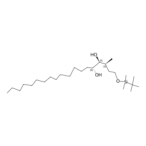 CCCCCCCCCCCCCC[C@@H](O)[C@@H](O)[C@@H](C)CCO[Si](C)(C)C(C)(C)C